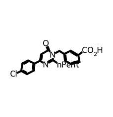 CCCCCc1nc(-c2ccc(Cl)cc2)cc(=O)n1Cc1cccc(C(=O)O)c1